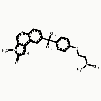 CN(C)CCOc1ccc(C(C)(C)c2ccc3ncc4c([nH]c(=O)n4C)c3c2)cc1